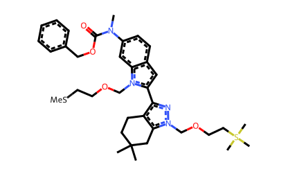 CSCCOCn1c(-c2nn(COCCS(C)(C)C)c3c2CCC(C)(C)C3)cc2ccc(N(C)C(=O)OCc3ccccc3)cc21